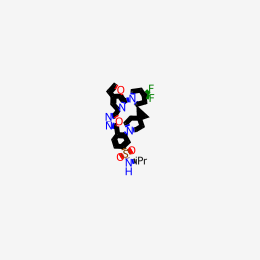 CC(C)NS(=O)(=O)c1ccc(-c2nnc(-c3cc4ccoc4c(N4CCC(F)(F)CC4)n3)o2)c(N2CCC3(CC2)CC3)c1